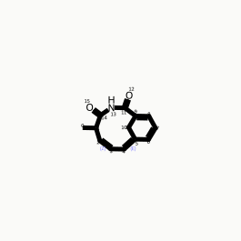 CC1/C=C\C=C2\C=CC=C(C2)C(=O)NC1=O